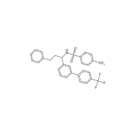 Cc1ccc(S(=O)(=O)NC(CCc2ccccc2)c2cccc(-c3ccc(C(F)(F)F)cc3)c2)cc1